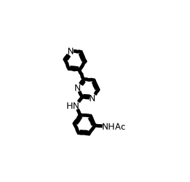 CC(=O)Nc1cccc(Nc2nccc(-c3ccncc3)n2)c1